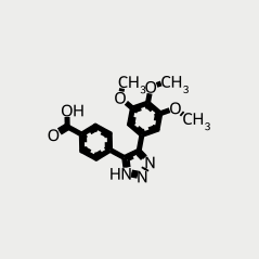 COc1cc(-c2nn[nH]c2-c2ccc(C(=O)O)cc2)cc(OC)c1OC